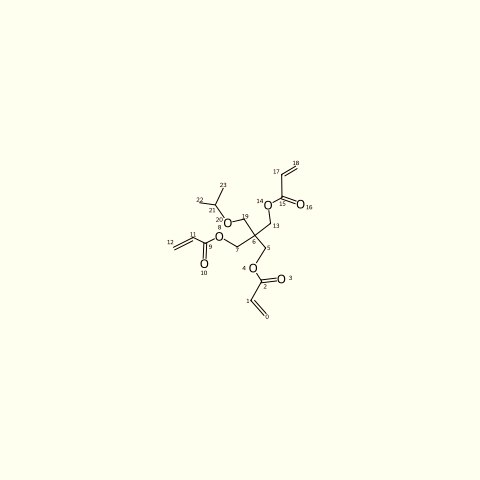 C=CC(=O)OCC(COC(=O)C=C)(COC(=O)C=C)COC(C)C